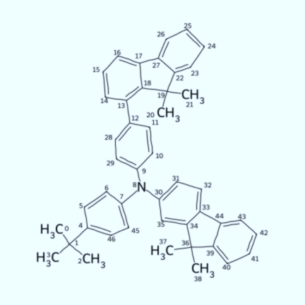 CC(C)(C)c1ccc(N(c2ccc(-c3cccc4c3C(C)(C)c3ccccc3-4)cc2)c2ccc3c(c2)C(C)(C)c2ccccc2-3)cc1